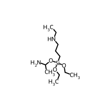 CCNCCC[Si](OCC)(OCC)OC(C)N